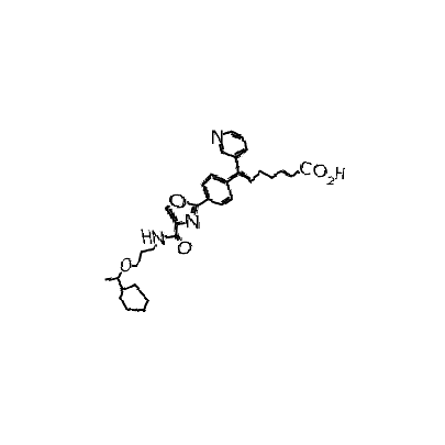 CC(OCCCNC(=O)c1coc(-c2ccc(C(=CCCCCC(=O)O)c3cccnc3)cc2)n1)C1CCCCC1